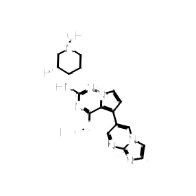 COc1nc(N[C@H]2CCN(C)C[C@H]2F)nn2ccc(-c3cnc4nccn4c3)c12